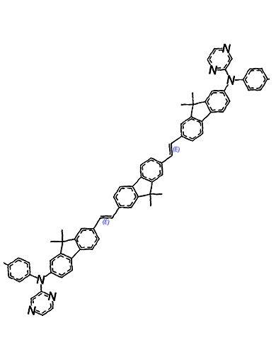 CC1(C)c2cc(/C=C/c3ccc4c(c3)C(C)(C)c3cc(N(c5ccc(F)cc5)c5cnccn5)ccc3-4)ccc2-c2ccc(/C=C/c3ccc4c(c3)C(C)(C)c3cc(N(c5ccc(F)cc5)c5cnccn5)ccc3-4)cc21